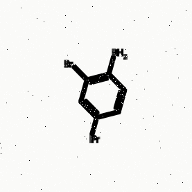 Bc1ccc(C(C)C)cc1Br